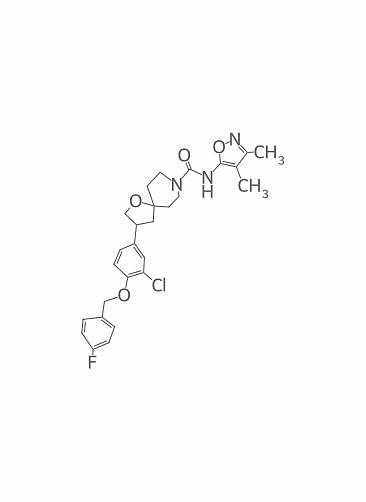 Cc1noc(NC(=O)N2CCC3(CC2)CC(c2ccc(OCc4ccc(F)cc4)c(Cl)c2)CO3)c1C